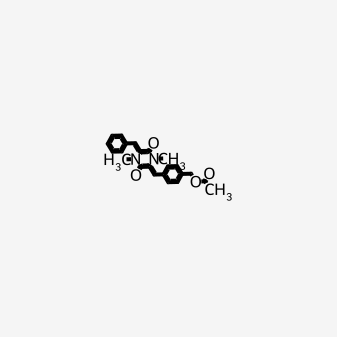 CC(=O)OCc1ccc(/C=c2/c(=O)n(C)/c(=C\c3ccccc3)c(=O)n2C)cc1